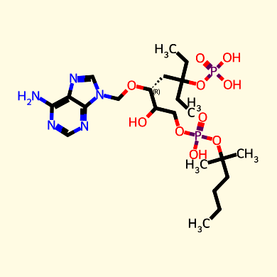 CCCCC(C)(C)OP(=O)(O)OCC(O)[C@@H](CC(CC)(CC)OP(=O)(O)O)OCn1cnc2c(N)ncnc21